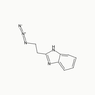 [N-]=[N+]=NCCc1nc2ccccc2[nH]1